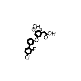 COC1=CC(CC(=O)O)CC(Oc2cccc(C3=CCC(Cl)CC3F)c2)=C1